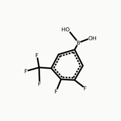 OB(O)c1cc(F)c(F)c(C(F)(F)F)c1